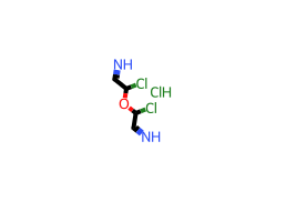 Cl.N=CC(Cl)OC(Cl)C=N